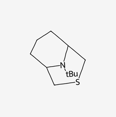 CC(C)(C)N1C2CCCC1CSC2